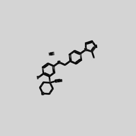 COC1(c2cc(OCc3ccc(-n4ccnc4C)cc3)ccc2F)CCOCC1.Cl